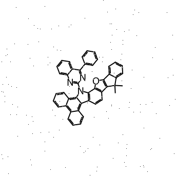 CC1(C)c2ccccc2-c2oc3c(ccc4c5c6ccccc6c6ccccc6c5n(-c5nc(-c6ccccc6)c6ccccc6n5)c43)c21